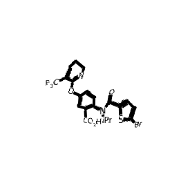 CC(C)N(C(=O)c1ccc(Br)s1)c1ccc(Oc2ncccc2C(F)(F)F)cc1C(=O)O